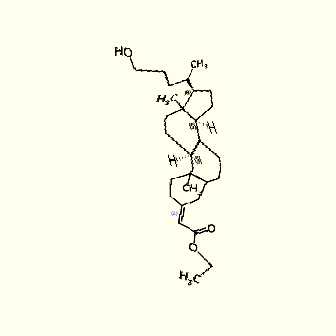 CCOC(=O)/C=C1/CCC2(C)C(CCC3[C@@H]2CCC2(C)[C@@H](C(C)CCCO)CC[C@@H]32)C1